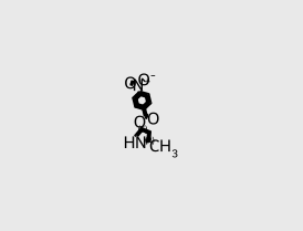 C[C@@H]1C[C@H](OC(=O)c2ccc([N+](=O)[O-])cc2)CN1